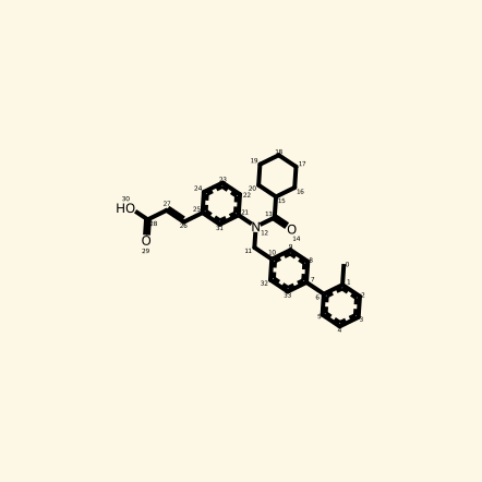 Cc1ccccc1-c1ccc(CN(C(=O)C2CCCCC2)c2cccc(C=CC(=O)O)c2)cc1